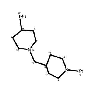 CC(C)N1CCC(CN2CCC(C(C)(C)C)CC2)CC1